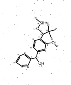 COc1cc(C(O)c2ccccc2)ccc1C(O[SiH](C)C)C(C)(C)C